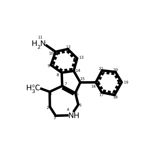 CC1CCNCC2=C1c1cc(N)ccc1C2c1ccccc1